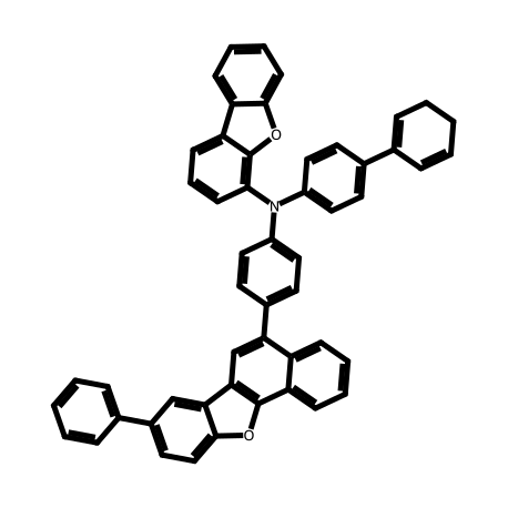 C1=CC(c2ccc(N(c3ccc(-c4cc5c6cc(-c7ccccc7)ccc6oc5c5ccccc45)cc3)c3cccc4c3oc3ccccc34)cc2)=CCC1